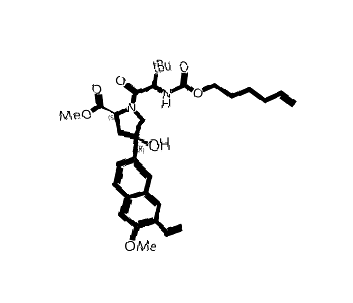 C=CCCCCOC(=O)NC(C(=O)N1C[C@](O)(c2ccc3cc(OC)c(C=C)cc3c2)C[C@H]1C(=O)OC)C(C)(C)C